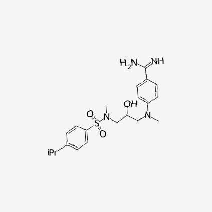 CC(C)c1ccc(S(=O)(=O)N(C)CC(O)CN(C)c2ccc(C(=N)N)cc2)cc1